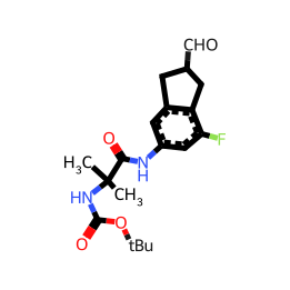 CC(C)(C)OC(=O)NC(C)(C)C(=O)Nc1cc(F)c2c(c1)CC(C=O)C2